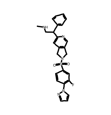 CNCC(c1ccccc1)c1cc2c(cn1)CN(S(=O)(=O)c1ccc(-n3cccn3)c(F)c1)C2